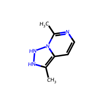 CC1=NC=CC2=C(C)NNN12